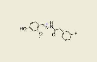 COc1cc(O)ccc1/C=N/NC(=O)Cc1cccc(F)c1